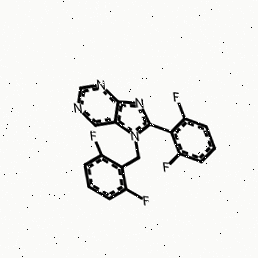 Fc1cccc(F)c1Cn1c(-c2c(F)cccc2F)nc2ncncc21